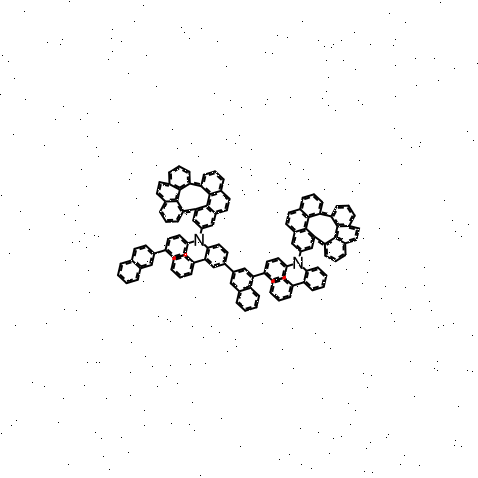 c1ccc(-c2ccccc2N(c2ccc(-c3cc(-c4ccc(N(c5ccc(-c6ccc7ccccc7c6)cc5)c5cc6ccc7cccc8c9cccc%10ccc%11cccc(c(c5)c6c78)c%11c%109)c(-c5ccccc5)c4)cc4ccccc34)cc2)c2cc3ccc4cccc5c6cccc7ccc8cccc(c(c2)c3c45)c8c76)cc1